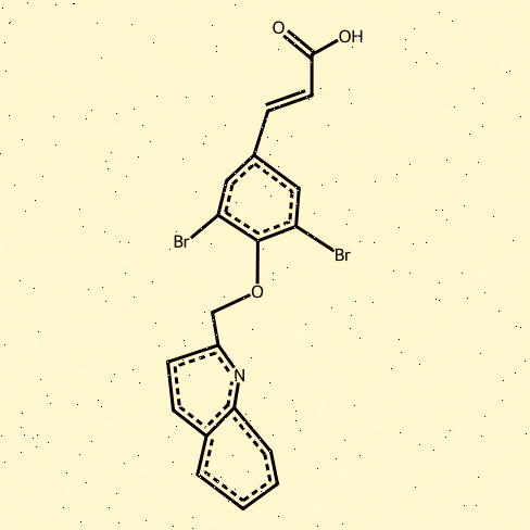 O=C(O)/C=C/c1cc(Br)c(OCc2ccc3ccccc3n2)c(Br)c1